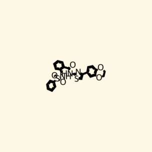 O=C(Nc1nc(-c2ccc3c(c2)OCCO3)cs1)c1ccccc1NS(=O)(=O)c1ccccc1